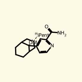 CCC[C@@H](C)N1CC2CCCC(C1)C2(OC)c1ccnc(C(N)=O)c1